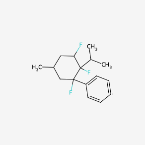 CC1CC(F)C(F)(C(C)C)C(F)(c2cc[c]cc2)C1